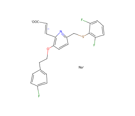 O=C([O-])/C=C/c1nc(CSc2c(F)cccc2F)ccc1OCCc1ccc(F)cc1.[Na+]